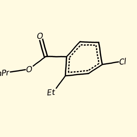 CCCOC(=O)c1ccc(Cl)cc1CC